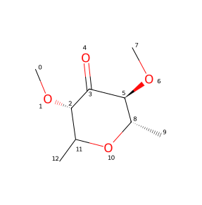 CO[C@@H]1C(=O)[C@@H](OC)[C@H](C)OC1C